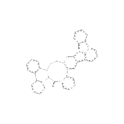 C=C1C2C(CCc3cc4c(cc3-c3cccc[n+]31)c1cccc3c5ccccc5n4c31)c1ccccc1-c1cccc[n+]12